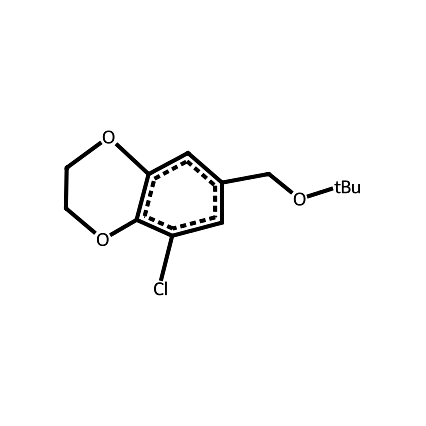 CC(C)(C)OCc1cc(Cl)c2c(c1)OCCO2